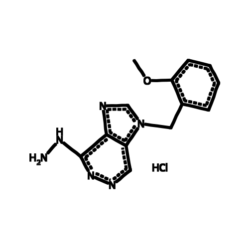 COc1ccccc1Cn1cnc2c(NN)nncc21.Cl